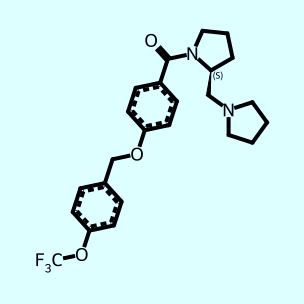 O=C(c1ccc(OCc2ccc(OC(F)(F)F)cc2)cc1)N1CCC[C@H]1CN1CCCC1